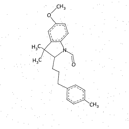 COc1ccc2c(c1)C(C)(C)C(CCCc1ccc(C)cc1)N2C=O